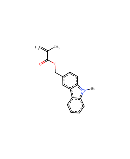 C=C(C)C(=O)OCc1ccc2c(c1)c1ccccc1n2CC